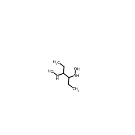 CCC(NO)C(CC)NO